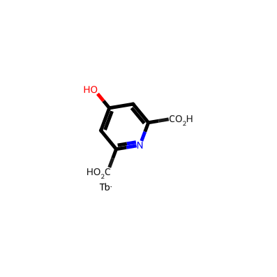 O=C(O)c1cc(O)cc(C(=O)O)n1.[Tb]